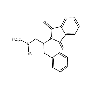 CC(C)(C)N(CC(Cc1ccccc1)N1C(=O)c2ccccc2C1=O)C(=O)O